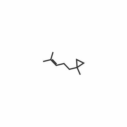 CC(C)=CCCC1(C)CC1